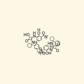 CN(C)C(=O)c1cccc(NC2=C(NC3(c4cccc(CN(C)S(=O)(=O)c5cccc(Nc6c(NC7(c8ccccc8)CCCC7)c(=O)c6=O)c5O)c4)CCCC3)C(=O)C2O)c1O